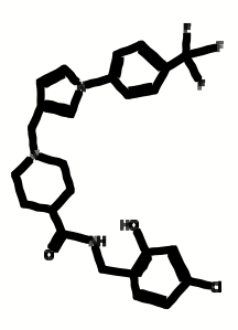 O=C(NCc1ccc(Cl)cc1O)C1CCN(Cc2ccn(-c3ccc(C(F)(F)F)cc3)c2)CC1